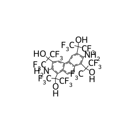 Nc1c(C(O)(C(F)(F)F)C(F)(F)F)cc2c(ccc3c(C(O)(C(F)(F)F)C(F)(F)F)c(N)c(C(O)(C(F)(F)F)C(F)(F)F)cc32)c1C(O)(C(F)(F)F)C(F)(F)F